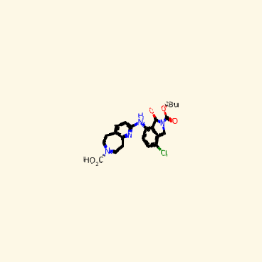 CC(C)(C)OC(=O)N1Cc2c(Cl)ccc(Nc3ccc4c(n3)CCN(C(=O)O)CC4)c2C1=O